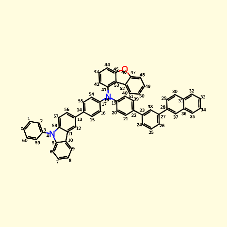 c1ccc(-n2c3ccccc3c3cc(-c4ccc(N(c5ccc(-c6cccc(-c7ccc8ccccc8c7)c6)cc5)c5cccc6oc7ccccc7c56)cc4)ccc32)cc1